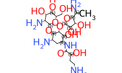 C[C@H](N)[C@H]1O[C@@H](OC2[C@H](O[C@H]3OC(CO)[C@@H](O)C(O)C3N)C(N)C[C@@H](NC(=O)[C@@H](O)CCN)[C@H]2O)[C@@H](O)C1O